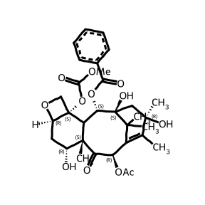 COC(=O)O[C@@]12CO[C@@H]1C[C@@H](O)[C@@]1(C)C(=O)[C@H](OC(C)=O)C3=C(C)[C@](C)(O)C[C@@](O)([C@@H](OC(=O)c4ccccc4)C12)C3(C)C